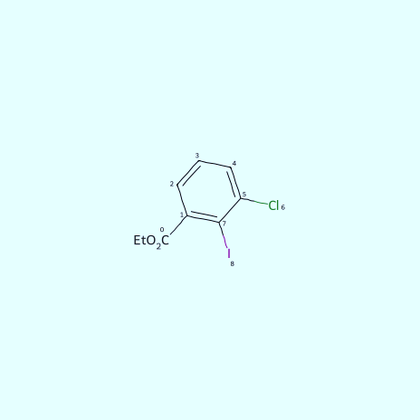 CCOC(=O)c1cccc(Cl)c1I